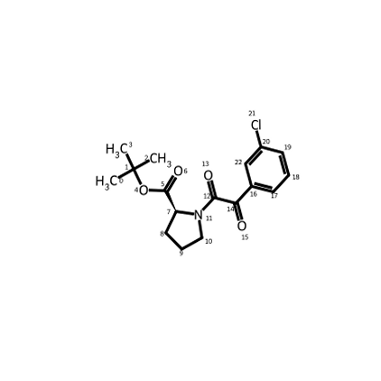 CC(C)(C)OC(=O)[C@@H]1CCCN1C(=O)C(=O)c1cccc(Cl)c1